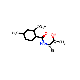 CC[C@H](NC(=O)C1CCC(C)CC1C(=O)O)[C@H](C)O